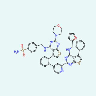 NS(=O)(=O)c1ccc(CNc2nc(N3CCOCC3)nc3scc(-c4ccccc4-c4ccnc(-c5nc(NCc6ccco6)c6c(-c7ccccc7)csc6n5)c4)c23)cc1